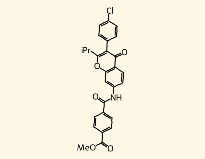 COC(=O)c1ccc(C(=O)Nc2ccc3c(=O)c(-c4ccc(Cl)cc4)c(C(C)C)oc3c2)cc1